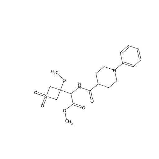 COC(=O)C(NC(=O)C1CCN(c2ccccc2)CC1)C1(OC)CS(=O)(=O)C1